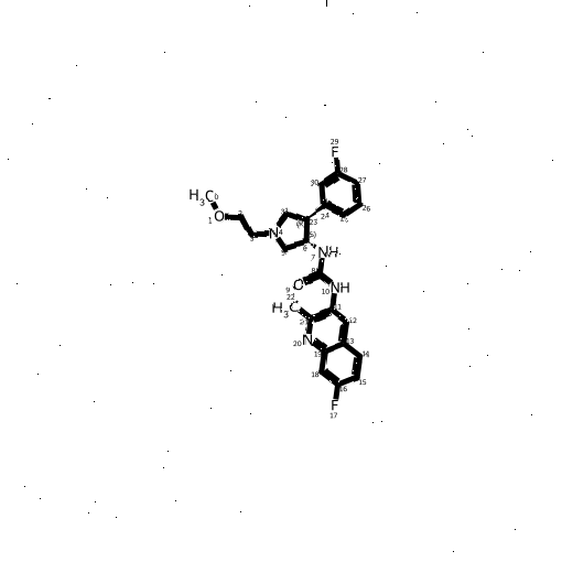 COCCN1C[C@@H](NC(=O)Nc2cc3ccc(F)cc3nc2C)[C@H](c2cccc(F)c2)C1